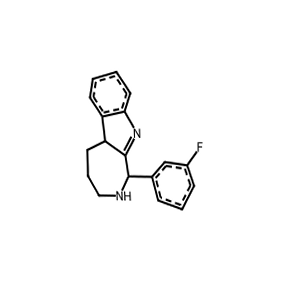 Fc1cccc(C2NCCCC3C2=Nc2ccccc23)c1